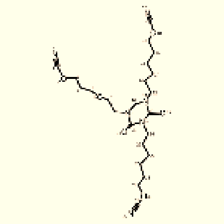 N#COCCCCCCN1CN(CCCCCCOC#N)C(=O)N(CCCCCCOC#N)C1=O